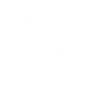 CC(=O)O.CC(=O)O.CC(=O)O.CC(=O)O.O=S(=O)(O)C(F)(F)F